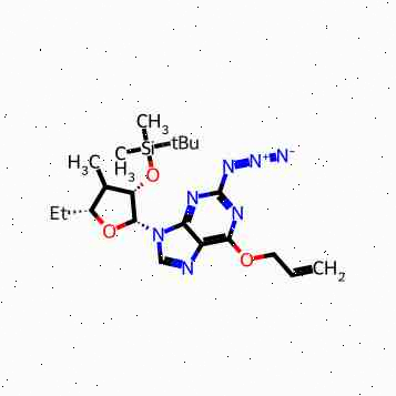 C=CCOc1nc(N=[N+]=[N-])nc2c1ncn2[C@@H]1O[C@H](CC)C(C)[C@@H]1O[Si](C)(C)C(C)(C)C